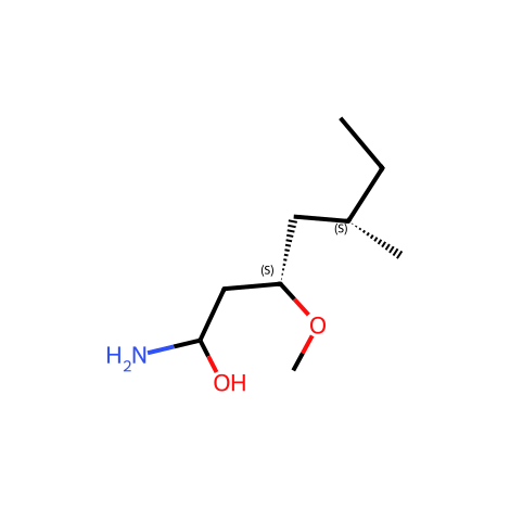 CC[C@H](C)C[C@@H](CC(N)O)OC